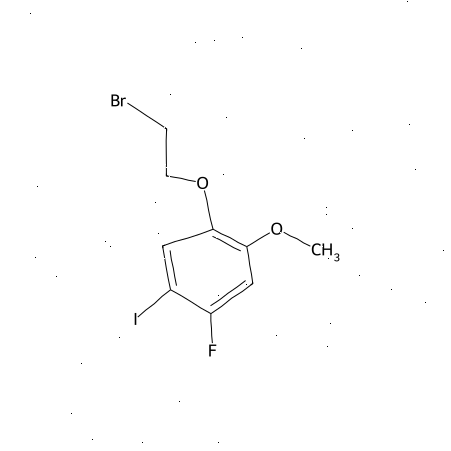 COc1cc(F)c(I)cc1OCCBr